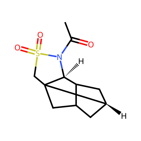 CC(=O)N1[C@H]2C3C[C@@H]4CC3CC42CS1(=O)=O